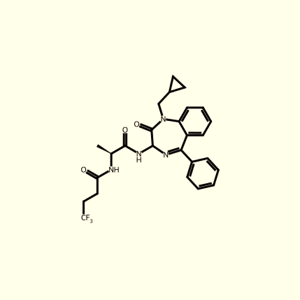 C[C@H](NC(=O)CCC(F)(F)F)C(=O)NC1N=C(c2ccccc2)c2ccccc2N(CC2CC2)C1=O